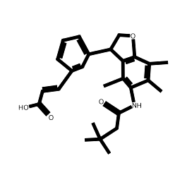 Cc1c(C)c2c(c(C)c1NC(=O)CC(C)(C)C)C(c1cccc(/C=C/C(=O)O)c1)CO2